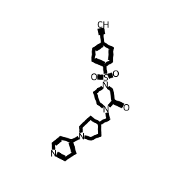 C#Cc1ccc(S(=O)(=O)N2CCN(CC3CCN(c4ccncc4)CC3)C(=O)C2)cc1